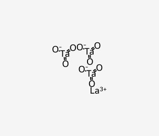 [La+3].[O]=[Ta](=[O])[O-].[O]=[Ta](=[O])[O-].[O]=[Ta](=[O])[O-]